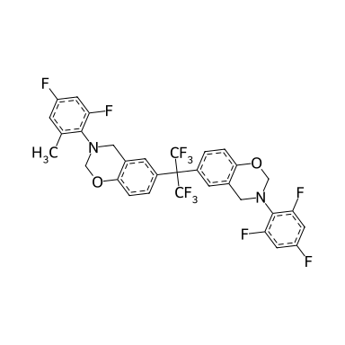 Cc1cc(F)cc(F)c1N1COc2ccc(C(c3ccc4c(c3)CN(c3c(F)cc(F)cc3F)CO4)(C(F)(F)F)C(F)(F)F)cc2C1